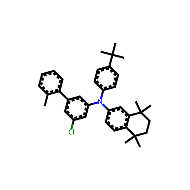 Cc1ccccc1-c1cc(Cl)cc(N(c2ccc(C(C)(C)C)cc2)c2ccc3c(c2)C(C)(C)CCC3(C)C)c1